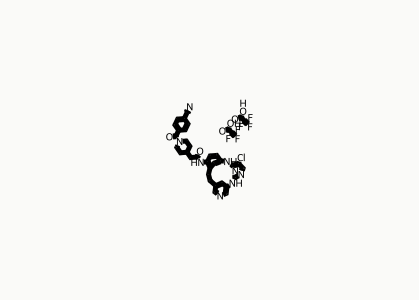 N#Cc1ccc(C(=O)N2CCC(CC(=O)Nc3ccc4cc3CCc3cncc(c3)Nc3ncc(Cl)c(n3)N4)CC2)cc1.O=C(O)C(F)(F)F.O=C(O)C(F)(F)F